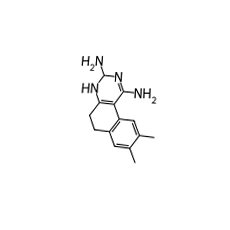 Cc1cc2c(cc1C)C1=C(CC2)NC(N)N=C1N